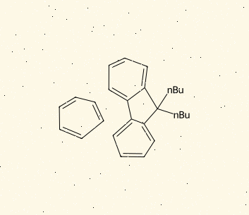 CCCCC1(CCCC)c2ccccc2-c2ccccc21.c1ccccc1